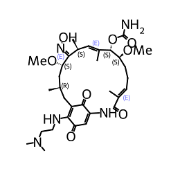 CO[C@H]1C[C@H](C)CC2=C(NCCN(C)C)C(=O)C=C(NC(=O)/C(C)=C/CC[C@H](OC)[C@@H](OC(N)=O)/C(C)=C/[C@H](C)/C1=N\O)C2=O